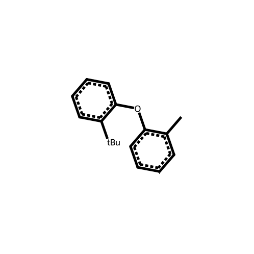 Cc1c[c]ccc1Oc1ccccc1C(C)(C)C